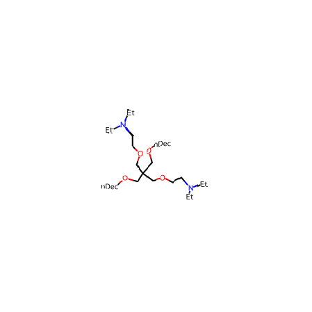 CCCCCCCCCCOCC(COCCCCCCCCCC)(COCCN(CC)CC)COCCN(CC)CC